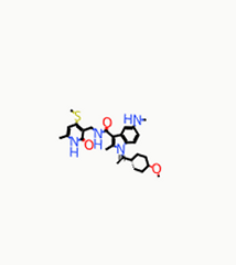 CNc1ccc2c(c1)c(C(=O)NCc1c(SC)cc(C)[nH]c1=O)c(C)n2[C@H](C)[C@H]1CC[C@H](OC)CC1